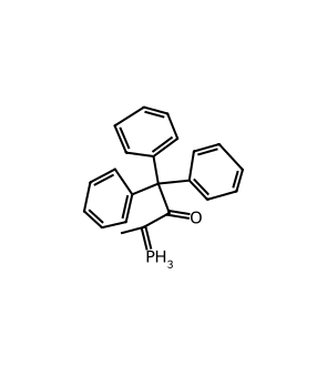 CC(=[PH3])C(=O)C(c1ccccc1)(c1ccccc1)c1ccccc1